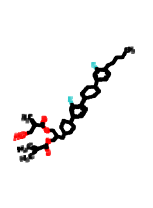 C=C(C)C(=O)OCC(COC(=O)C(=C)CO)CC1CCC(c2ccc(C3CCC(c4ccc(CCCCC)c(F)c4)CC3)c(F)c2)CC1